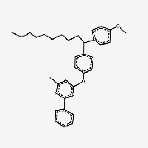 CCCCCCCCCC(c1ccc(OC)cc1)c1ccc(Oc2cc(C)nc(-c3ccccc3)n2)cc1